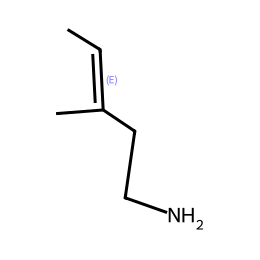 C/C=C(\C)CCN